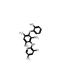 O=[N+]([O-])c1cc(C(F)(F)F)c(Oc2ccccc2O)c([N+](=O)[O-])c1Nc1ncc(C(F)(F)F)cc1Cl